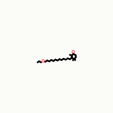 CCCOCCCCCCCCCCCCCC1=C(C)C(=O)CCC1(C)C